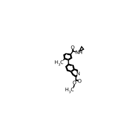 CCOC(=O)c1cc2ccc(-c3cc(C(=O)NC4CC4)ccc3C)cc2cn1